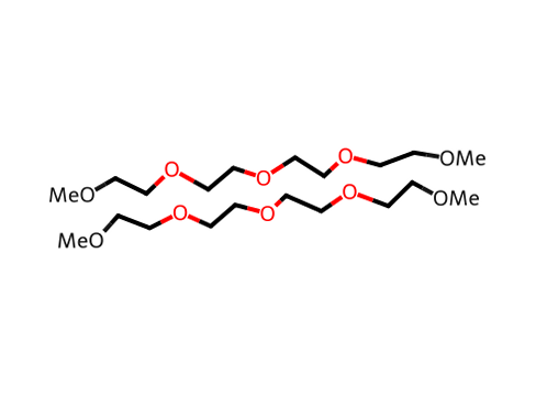 COCCOCCOCCOCCOC.COCCOCCOCCOCCOC